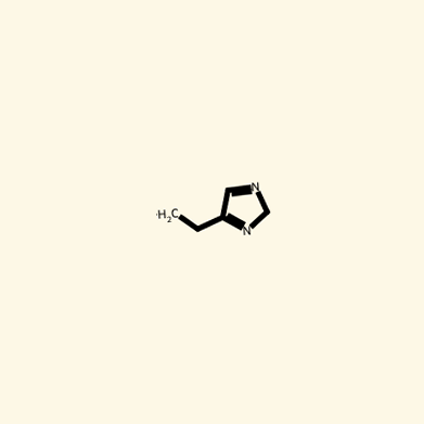 [CH2]CC1=NCN=C1